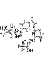 COc1nc(-c2c[nH]c3ccc(-c4nnc(NC(C)(C)C)o4)cc23)ncc1F.O=C(O)C(F)(F)F